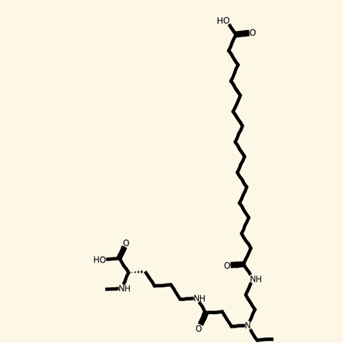 CCN(CCNC(=O)CCCCCCCCCCCCCCC(=O)O)CCC(=O)NCCCC[C@H](NC)C(=O)O